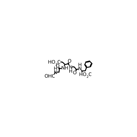 O=CNCC(=O)NC(CC(=O)O)C(=O)NCC(=O)NC(Cc1ccccc1)C(=O)O